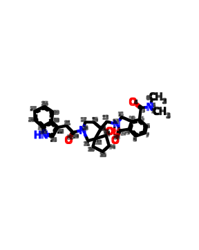 CN(C)C(=O)c1cccc2c1CN(C[C@]1(O)CCN(C(=O)Cc3c[nH]c4ccccc34)CC13CCCC3)C2=O